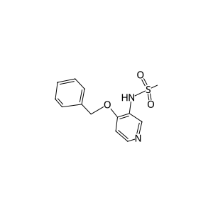 CS(=O)(=O)Nc1cnccc1OCc1ccccc1